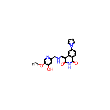 CCCOc1cnc(CNC=C2C(=O)NC(=O)c3ccc(-n4cccc4)cc32)cc1O